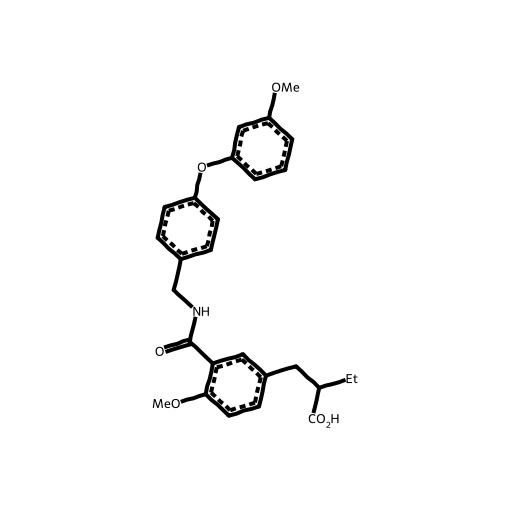 CCC(Cc1ccc(OC)c(C(=O)NCc2ccc(Oc3cccc(OC)c3)cc2)c1)C(=O)O